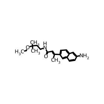 CCOC(C)(C)CCNC(=O)/C=C(\C)c1ccc2cc(N)ccc2c1